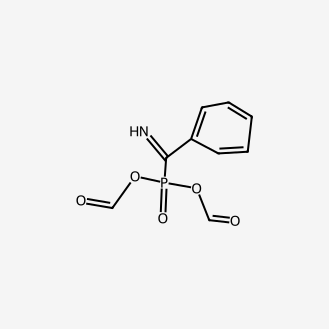 N=C(c1ccccc1)P(=O)(OC=O)OC=O